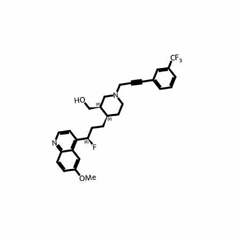 COc1ccc2nccc([C@H](F)CC[C@@H]3CCN(CC#Cc4cccc(C(F)(F)F)c4)C[C@@H]3CO)c2c1